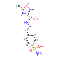 CCc1nc(C(=O)NCCc2ccc(S(N)(=O)=O)cc2)no1